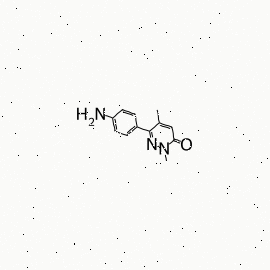 Cc1cc(=O)n(C)nc1-c1ccc(N)cc1